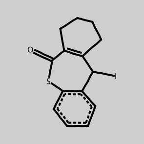 O=C1Sc2ccccc2C(I)C2=C1CCCC2